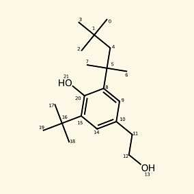 CC(C)(C)CC(C)(C)c1cc(CCO)cc(C(C)(C)C)c1O